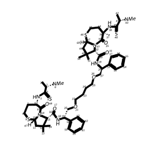 CN[C@@H](C)C(=S)N[C@H]1CCS[C@H]2CC(C)(C)[C@@H](C(=O)N[C@H](COCCCCOC[C@@H](NC(=O)[C@H]3N4C(=O)[C@](C)(NC(=S)[C@H](C)NC)CCS[C@H]4CC3(C)C)c3ccccc3)c3ccccc3)N2C1=O